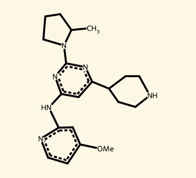 COc1ccnc(Nc2cc(C3CCNCC3)nc(N3CCCC3C)n2)c1